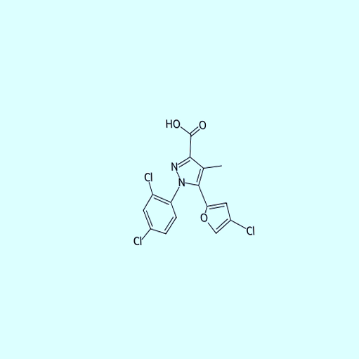 Cc1c(C(=O)O)nn(-c2ccc(Cl)cc2Cl)c1-c1cc(Cl)co1